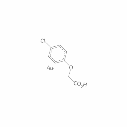 O=C(O)COc1ccc(Cl)cc1.[Au]